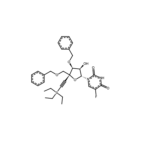 CC[Si](C#C[C@]1(COCc2ccccc2)O[C@@H](n2cc(F)c(=O)[nH]c2=O)[C@H](O)[C@@H]1OCc1ccccc1)(CC)CC